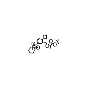 CC(OCc1cc(S(=O)(=O)N2CCCCC2)ccc1Cl)C(=O)OC(C)(C)C